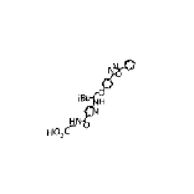 CCC(C)C(COc1ccc(-c2nnc(-c3ccccc3)o2)cc1)Nc1ccc(C(=O)NCCC(=O)O)cn1